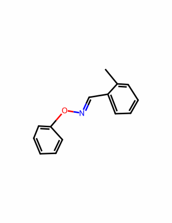 Cc1ccccc1/C=N/Oc1ccccc1